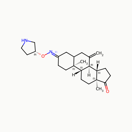 C=C1CC2C/C(=N/O[C@@H]3CCNC3)CC[C@]2(C)[C@H]2CC[C@]3(C)C(=O)CC[C@H]3[C@H]12